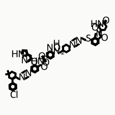 CC1(C)CCC(CN2CCN(c3ccc(C(=O)NS(=O)(=O)c4ccc(NCC5CCC(N6CCN(CCSc7cccc8c7CN(C7CCC(=O)NC7=O)C8=O)CC6)CC5)c([N+](=O)[O-])c4)c(Oc4cnc5[nH]ccc5c4)c3)CC2)=C(c2ccc(Cl)cc2)C1